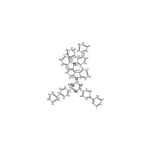 c1ccc(-c2ccc(C3=NC(n4c5ccccc5c5c6c(ccc54)c4ccccc4n6-c4cccc(-c5ccccc5)c4-c4ccccc4)NC(c4ccc(-c5ccccc5)cc4)=N3)cc2)cc1